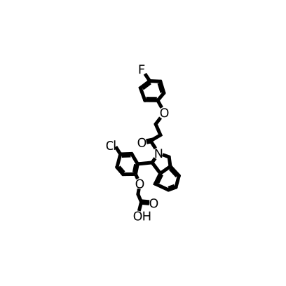 O=C(O)COc1ccc(Cl)cc1C1c2ccccc2CN1C(=O)CCOc1ccc(F)cc1